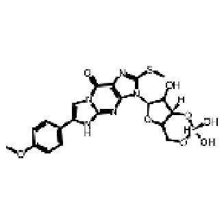 COc1ccc(-c2cn3c(=O)c4nc(SC)n([C@@H]5OC6CO[PH](O)(O)O[C@H]6C5O)c4nc3[nH]2)cc1